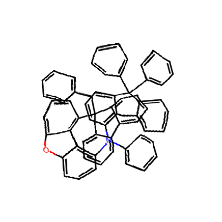 c1ccc(CC2(c3cccc4oc5cccc(N(c6ccccc6)c6cccc7c6-c6ccccc6C7(c6ccccc6)c6ccccc6)c5c34)c3ccccc3-c3ccccc32)cc1